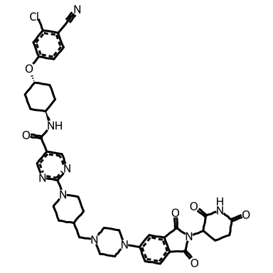 N#Cc1ccc(O[C@H]2CC[C@H](NC(=O)c3cnc(N4CCC(CN5CCN(c6ccc7c(c6)C(=O)N(C6CCC(=O)NC6=O)C7=O)CC5)CC4)nc3)CC2)cc1Cl